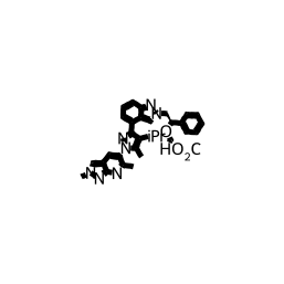 Cc1nc2nn(C)cc2cc1-n1nc(-c2cccc3nn(C[C@H](OCC(=O)O)c4ccccc4)cc23)c(C(C)C)c1C